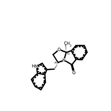 C[C@@]12OC[C@@H](Cc3c[nH]c4ccccc34)N1C(=O)c1ccccc12